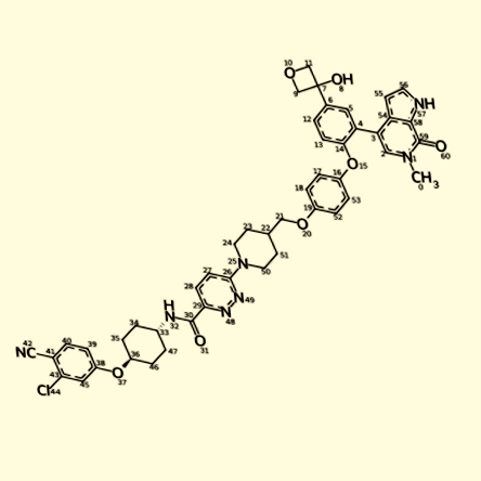 Cn1cc(-c2cc(C3(O)COC3)ccc2Oc2ccc(OCC3CCN(c4ccc(C(=O)N[C@H]5CC[C@H](Oc6ccc(C#N)c(Cl)c6)CC5)nn4)CC3)cc2)c2cc[nH]c2c1=O